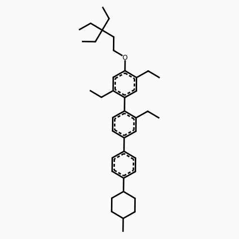 CCc1cc(-c2ccc(-c3ccc(C4CCC(C)CC4)cc3)cc2CC)c(CC)cc1OCCC(CC)(CC)CC